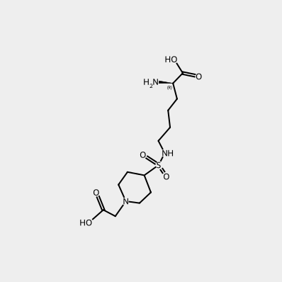 N[C@H](CCCCNS(=O)(=O)C1CCN(CC(=O)O)CC1)C(=O)O